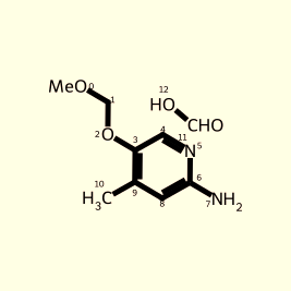 COCOc1cnc(N)cc1C.O=CO